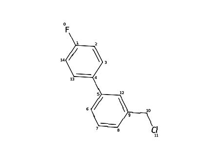 Fc1ccc(-c2cccc(CCl)c2)cc1